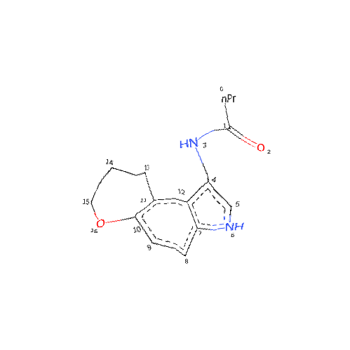 CCCC(=O)Nc1c[nH]c2ccc3c(c12)CCCO3